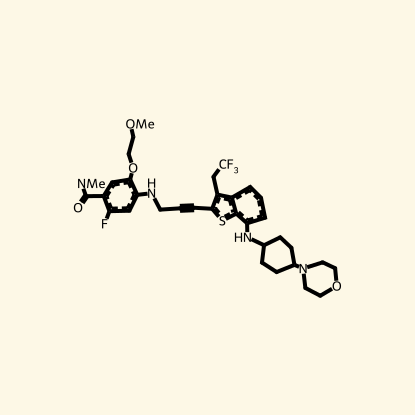 CNC(=O)c1cc(OCCOC)c(NCC#Cc2sc3c(NC4CCC(N5CCOCC5)CC4)cccc3c2CC(F)(F)F)cc1F